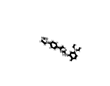 CCN(CC)c1ccc(C)c(Nc2nc(-c3ccc(-n4ccnn4)cc3)cs2)c1